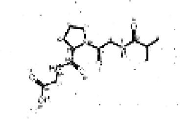 CC(C)C(=O)NCC(=O)N1CCCC1C(=O)NCC(=O)O